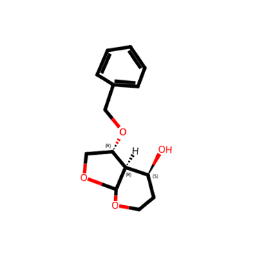 O[C@H]1CCOC2OC[C@H](OCc3ccccc3)[C@H]21